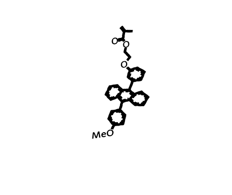 C=C(C)C(=O)OCCOc1cccc(-c2c3ccccc3c(-c3ccc(OC)cc3)c3ccccc23)c1